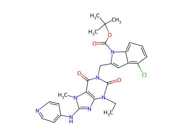 CCn1c(=O)n(Cc2cc3c(Cl)cccc3n2C(=O)OC(C)(C)C)c(=O)c2c1nc(Nc1ccncc1)n2C